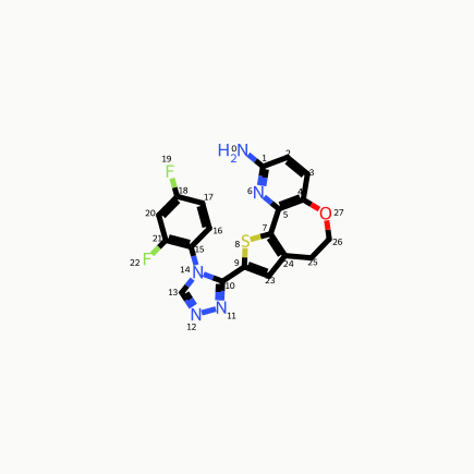 Nc1ccc2c(n1)-c1sc(-c3nncn3-c3ccc(F)cc3F)cc1CCO2